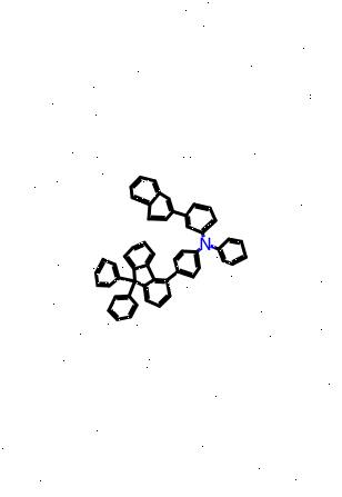 c1ccc(N(c2ccc(-c3cccc4c3-c3ccccc3C4(c3ccccc3)c3ccccc3)cc2)c2cccc(-c3ccc4ccccc4c3)c2)cc1